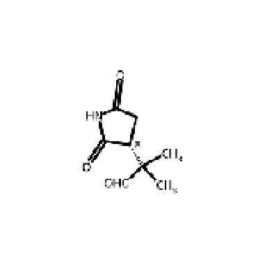 CC(C)(C=O)[C@H]1CC(=O)NC1=O